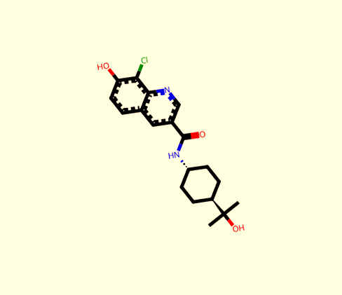 CC(C)(O)[C@H]1CC[C@H](NC(=O)c2cnc3c(Cl)c(O)ccc3c2)CC1